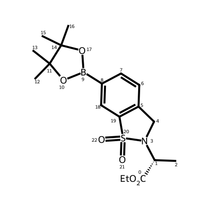 CCOC(=O)[C@@H](C)N1Cc2ccc(B3OC(C)(C)C(C)(C)O3)cc2S1(=O)=O